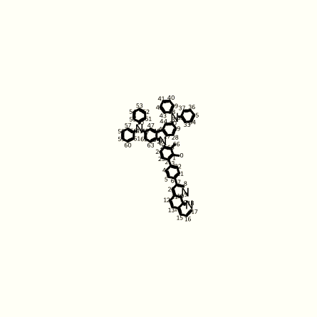 Cc1c(-c2ccc(-c3cnc4c(ccc5cccnc54)c3)cc2)ccc(-n2c3ccc(N(c4ccccc4)c4ccccc4)cc3c3cc(N(c4ccccc4)c4ccccc4)ccc32)c1C